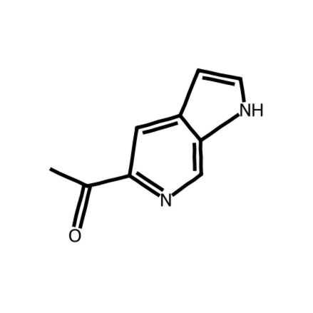 CC(=O)c1cc2cc[nH]c2cn1